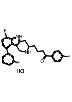 Cl.O=C(CCCC1Cc2[nH]c3c(F)ccc(-c4cccc(F)c4)c3c2CN1)c1ccc(F)cc1